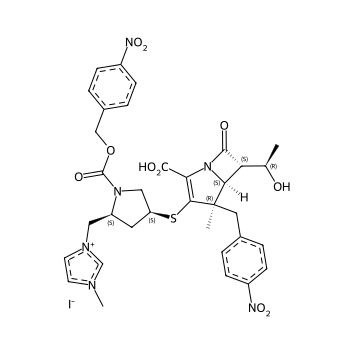 C[C@@H](O)[C@H]1C(=O)N2C(C(=O)O)=C(S[C@H]3C[C@@H](C[n+]4ccn(C)c4)N(C(=O)OCc4ccc([N+](=O)[O-])cc4)C3)[C@](C)(Cc3ccc([N+](=O)[O-])cc3)[C@H]12.[I-]